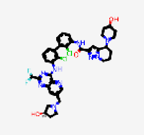 O=C(Nc1cccc(-c2cccc(Nc3nc(C(F)F)nc4cc(CN5CC[C@@H](O)C5)cnc34)c2Cl)c1Cl)c1cc2n(n1)CCCC2N1CCC(O)CC1